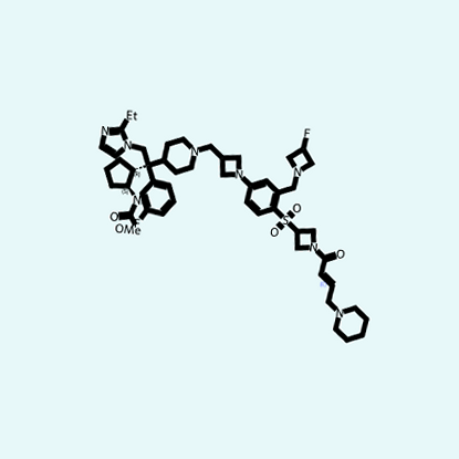 CCc1nccn1CC(c1cccc(F)c1)(C1CCN(CC2CN(c3ccc(S(=O)(=O)C4CN(C(=O)/C=C/CN5CCCCC5)C4)c(CN4CC(F)C4)c3)C2)CC1)[C@H]1CCC[C@@H]1NC(=O)OC